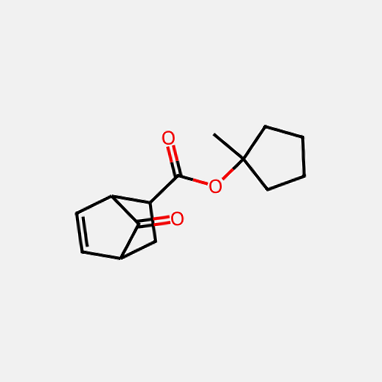 CC1(OC(=O)C2CC3C=CC2C3=O)CCCC1